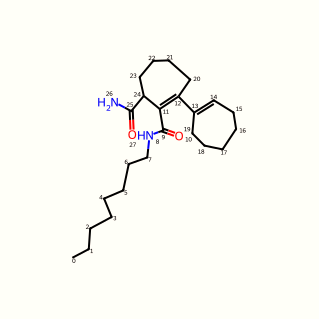 CCCCCCCCNC(=O)C1=C(C2=CCCCCC2)CCCCC1C(N)=O